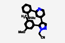 COc1cc(C)cc(-c2c(-c3ccnc(-c4ccccc4NC(C)=O)c3)cnn2CC#N)c1